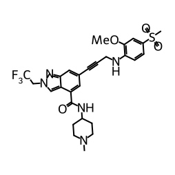 COc1cc(S(C)(=O)=O)ccc1NCC#Cc1cc(C(=O)NC2CCN(C)CC2)c2cn(CC(F)(F)F)nc2c1